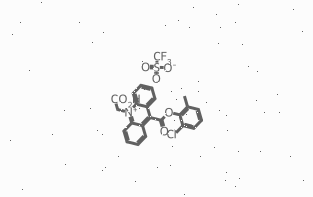 Cc1cccc(Cl)c1OC(=O)c1c2ccccc2[n+](CC(=O)O)c2ccccc12.O=S(=O)([O-])C(F)(F)F